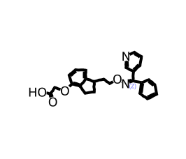 O=C(O)COc1cccc2c1CCC2CCO/N=C(/c1ccccc1)c1cccnc1